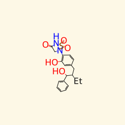 CCC(Cc1ccc(N2CC(=O)NS2(=O)=O)c(O)c1)C(O)c1ccccc1